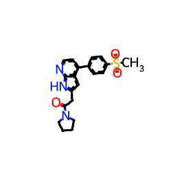 CS(=O)(=O)c1ccc(-c2ccnc3[nH]c(CC(=O)N4CCCC4)cc23)cc1